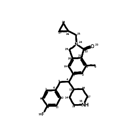 Cc1cc(C(Cc2ccc(F)cc2)C2CCNCC2)cc2c1C(=O)N(CC1CC1)C2